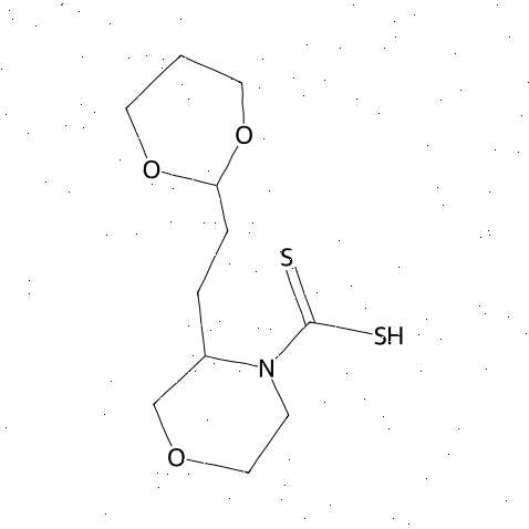 S=C(S)N1CCOCC1CCC1OCCCO1